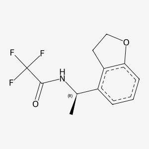 C[C@@H](NC(=O)C(F)(F)F)c1cccc2c1CCO2